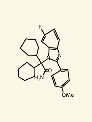 COc1ccc(-c2nc3ccc(F)cc3n2C(C(N)=O)(C2CCCCC2)C2CCCCC2)cc1